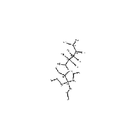 CCO[Si](OCC)(OCC)C(CC)OC(F)C(F)(F)C(F)(F)C(F)C(F)F